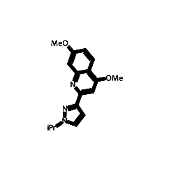 COc1ccc2c(OC)cc(-c3ccn(C(C)C)n3)nc2c1